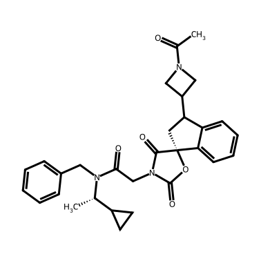 CC(=O)N1CC(C2C[C@@]3(OC(=O)N(CC(=O)N(Cc4ccccc4)[C@@H](C)C4CC4)C3=O)c3ccccc32)C1